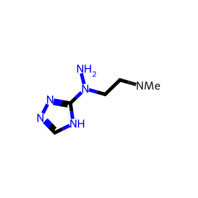 CNCCN(N)c1nnc[nH]1